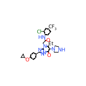 CCc1c(N2CCNCC2)c(=O)n2nc(-c3ccc(OC4CC4)cc3)nc2n1CC(=O)Nc1ccc(C(F)(F)F)cc1Cl